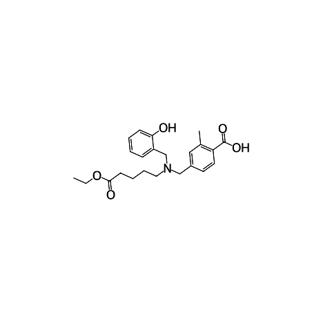 CCOC(=O)CCCCN(Cc1ccc(C(=O)O)c(C)c1)Cc1ccccc1O